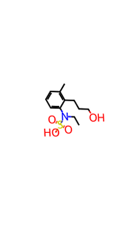 CCN(c1cccc(C)c1CCCO)S(=O)(=O)O